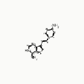 Nc1ccc(/C=C/c2csc3c2N=CNC3N)cc1